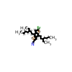 CCCCC(CC)CCc1c2cc(C#N)sc2c(CCC(CC)CCCC)c2cc(Br)sc12